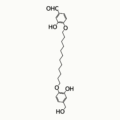 O=Cc1ccc(OCCCCCCCCCCCCOc2ccc(CO)cc2O)c(O)c1